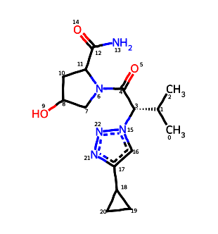 CC(C)[C@@H](C(=O)N1CC(O)CC1C(N)=O)n1cc(C2CC2)nn1